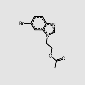 CC(=O)OCCn1cnc2ccc(Br)cc21